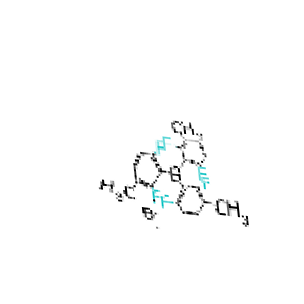 Cc1ccc(F)c(B(c2c(F)ccc(C)c2F)c2c(F)ccc(C)c2F)c1F.[B]